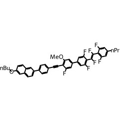 CCCCOc1ccc2cc(-c3ccc(C#Cc4c(F)cc(-c5cc(F)c(/C(F)=C(\F)c6c(F)cc(CCC)cc6F)c(F)c5)cc4OC)cc3)ccc2c1